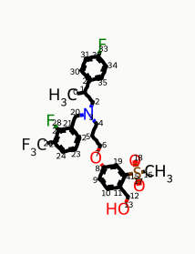 CC(CN(CCCOc1ccc(CO)c(S(C)(=O)=O)c1)Cc1cccc(C(F)(F)F)c1F)c1ccc(F)cc1